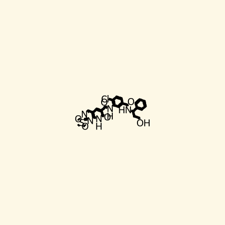 CS(=O)(=O)c1ncc2cc(C(=O)Nc3cc(C(=O)NC(CCO)c4ccccc4)ccc3Cl)c(=O)[nH]c2n1